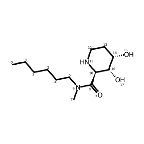 CCCCCCN(C)C(=O)[C@H]1NCC[C@H](O)[C@@H]1O